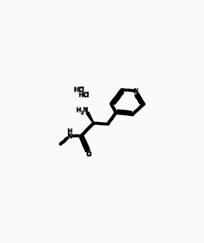 CNC(=O)[C@@H](N)Cc1ccncc1.Cl.Cl